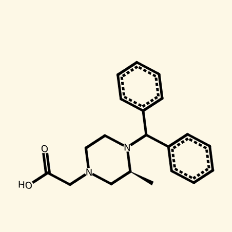 C[C@H]1CN(CC(=O)O)CCN1C(c1ccccc1)c1ccccc1